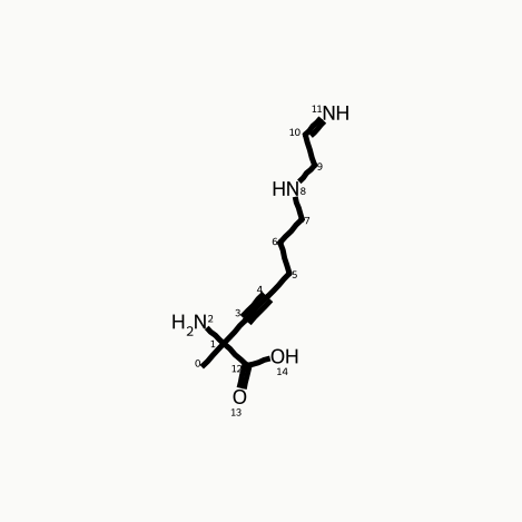 CC(N)(C#CCCCNCC=N)C(=O)O